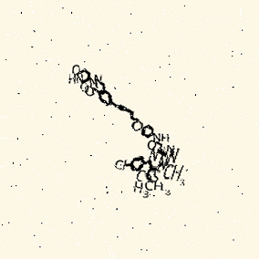 Cc1sc2c(c1C)C(c1ccc(Cl)cc1)=N[C@@H](CC(=O)Nc1ccc(OCCCC#Cc3ccc4c(=O)n(C5CCC(=O)NC5=O)ncc4c3)cc1)c1nnc(C)n1-2